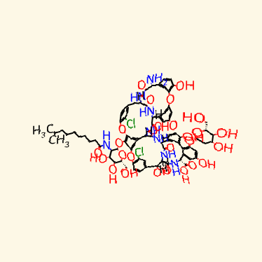 CC(C)CCCCCCCC(=O)N[C@H]1[C@H](Oc2c3cc4cc2Oc2ccc(cc2Cl)[C@@H](O)[C@@H]2NC(=O)[C@H](NC(=O)[C@@H]4NC(=O)[C@H]4NC(=O)[C@@H](Cc5ccc(c(Cl)c5)O3)NC(=O)[C@H](N)c3ccc(O)c(c3)Oc3cc(O)cc4c3)c3ccc(O)c(c3)-c3c(O[C@@H]4C[C@@H](O)[C@H](O)[C@@H](CO)O4)cc(O)cc3[C@H](C(=O)O)NC2=O)O[C@H](CO)[C@@H](O)[C@@H]1O